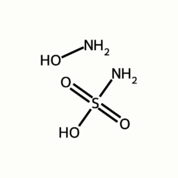 NO.NS(=O)(=O)O